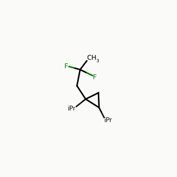 CC(C)C1CC1(CC(C)(F)F)C(C)C